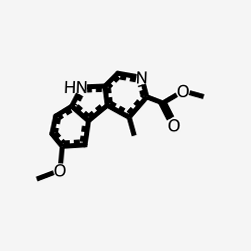 COC(=O)c1ncc2[nH]c3ccc(OC)cc3c2c1C